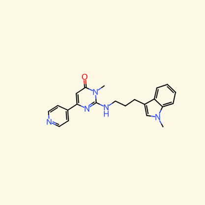 Cn1c(NCCCc2cn(C)c3ccccc23)nc(-c2ccncc2)cc1=O